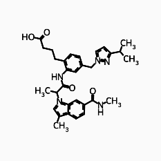 CNC(=O)c1ccc2c(C)cn(C(C)C(=O)Nc3cc(Cn4ccc(C(C)C)n4)ccc3CCCC(=O)O)c2c1